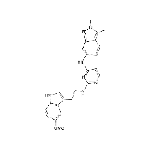 COc1ccc2[nH]cc(CCNc3nccc(Nc4ccc5c(C)n(C)nc5c4)n3)c2c1